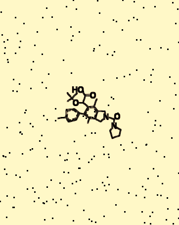 Cc1ccc(-c2c(C)c3c(c(C)c2C(OC(C)(C)C)C(=O)O)CN(C(=O)N2CCCC2)C3)cc1